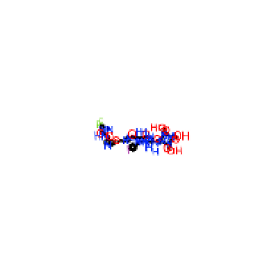 N#C[C@H]1CC(F)(F)CN1C(=O)CNC(=O)c1ccnc2ccc(OCCCN3CCN(C(=O)CCCCCC(=O)N/N=C\C(C/C=N/NCN/N=C/c4ccc(I)cc4)NC(=O)CN4CCN(CC(=O)O)CCN(CC(=O)O)CCN(CC(=O)O)CC4)CC3)cc12